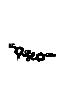 COc1ccc(CS(=O)(=O)/C(C#N)=C/c2ccc(C#N)cc2F)cc1